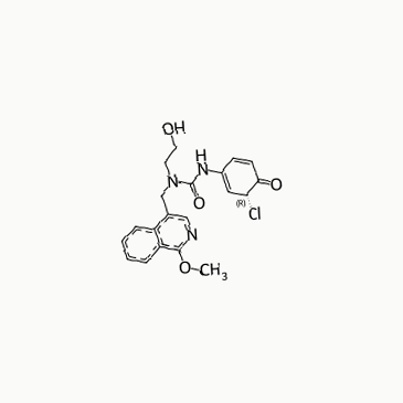 COc1ncc(CN(CCO)C(=O)NC2=C[C@@H](Cl)C(=O)C=C2)c2ccccc12